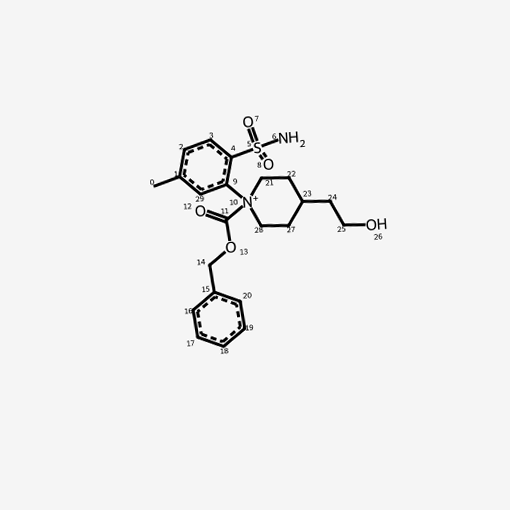 Cc1ccc(S(N)(=O)=O)c([N+]2(C(=O)OCc3ccccc3)CCC(CCO)CC2)c1